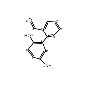 Nc1ccc(O)c(-c2ccccc2C=O)c1